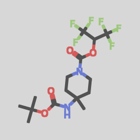 CC1(NC(=O)OC(C)(C)C)CCN(C(=O)OC(C(F)(F)F)C(F)(F)F)CC1